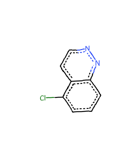 Clc1cccc2nnccc12